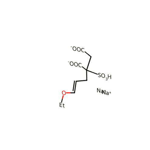 CCOC=CCC(CC(=O)[O-])(C(=O)[O-])S(=O)(=O)O.[Na+].[Na+]